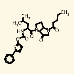 CCCCC(=O)N1CC(=O)C2C1CCN2C(=O)C(CC(C)C)NC(=O)Oc1ccc(-c2ccccc2)s1